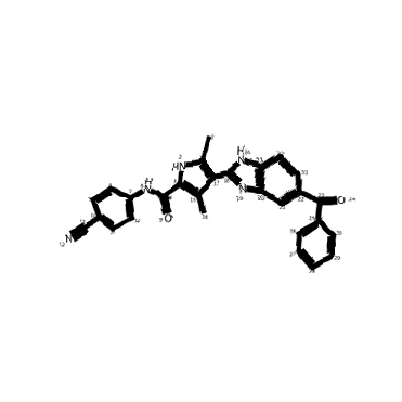 Cc1[nH]c(C(=O)Nc2ccc(C#N)cc2)c(C)c1-c1nc2cc(C(=O)c3ccccc3)ccc2[nH]1